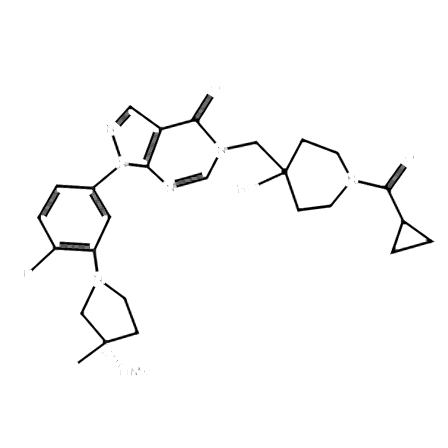 CO[C@@]1(C)CCN(c2cc(-n3ncc4c(=O)n(CC5(O)CCN(C(=O)C6CC6)CC5)cnc43)ccc2F)C1